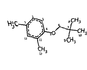 Cc1ccc(OCC(C)(C)C)c(C)c1